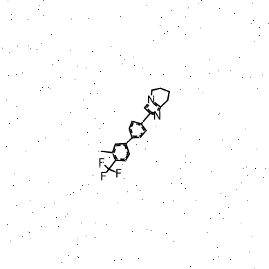 Cc1cc(-c2ccc(-c3cn4c(n3)CCCC4)cc2)ccc1C(F)(F)F